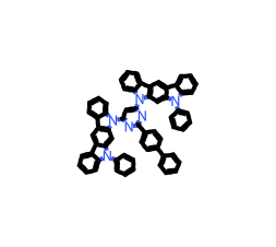 c1ccc(-c2ccc(-c3nc(-n4c5ccccc5c5cc6c7ccccc7n(-c7ccccc7)c6cc54)cc(-n4c5ccccc5c5cc6c7ccccc7n(-c7ccccc7)c6cc54)n3)cc2)cc1